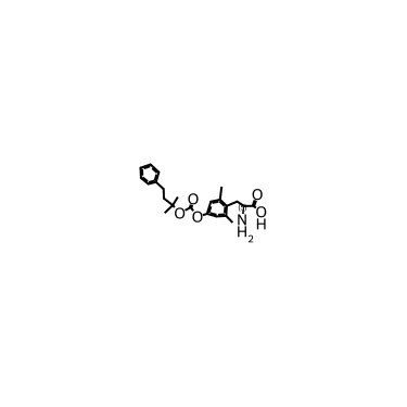 Cc1cc(OC(=O)OC(C)(C)CCc2ccccc2)cc(C)c1C[C@H](N)C(=O)O